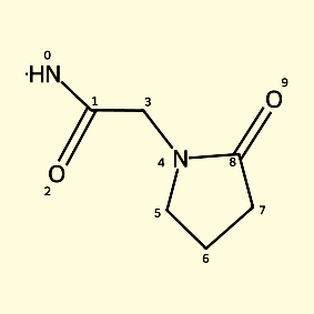 [NH]C(=O)CN1CCCC1=O